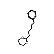 c1ccc(CCCCCC2OCCCO2)cc1